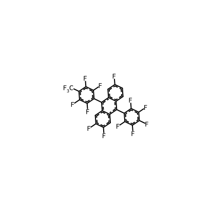 Fc1ccc2c(-c3c(F)c(F)c(F)c(F)c3F)c3cc(F)c(F)cc3c(-c3c(F)c(F)c(C(F)(F)F)c(F)c3F)c2c1